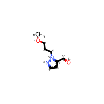 COCCCn1nccc1C=O